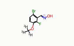 [2H]C([2H])([2H])Oc1ccc(Br)c(/C=N/O)c1F